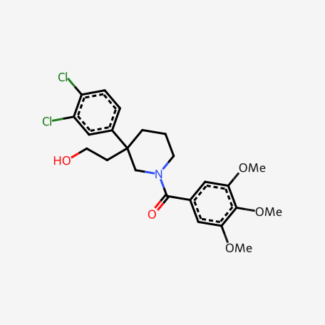 COc1cc(C(=O)N2CCCC(CCO)(c3ccc(Cl)c(Cl)c3)C2)cc(OC)c1OC